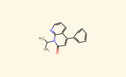 CC(C)n1c(=O)cc(-c2ccccc2)c2cccnc21